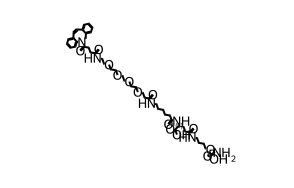 NP(=O)(O)OCCCCNC(=O)CC[C@H](NC(=O)CCCCCNC(=O)CCOCCOCCOCCOCCNC(=O)CCC(=O)N1Cc2ccccc2C#Cc2ccccc21)C(=O)O